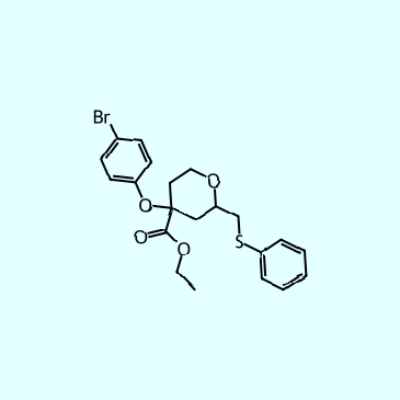 CCOC(=O)C1(Oc2ccc(Br)cc2)CCOC(CSc2ccccc2)C1